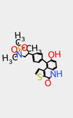 CC(CN(C)S(C)(=O)=O)c1ccc(-c2c(O)ccc3[nH]c(=O)c4sccc4c23)cc1